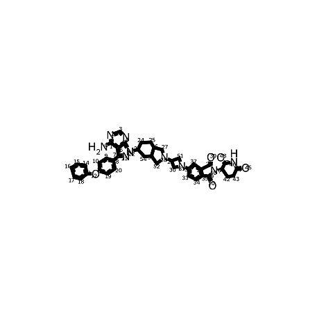 Nc1ncnc2c1c(-c1ccc(Oc3ccccc3)cc1)nn2C1CCC2CN(C3CN(c4ccc5c(c4)C(=O)N([C@@H]4CCC(=O)NC4=O)C5=O)C3)CC2C1